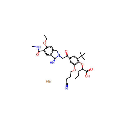 Br.CCCC(Oc1c(OCCCC#N)cc(C(=O)CN2Cc3cc(OCC)c(C(=O)NC)cc3C2=N)cc1C(C)(C)C)C(=O)O